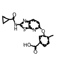 Cc1ccc(C(=O)O)cc1Oc1ccc2nc(NC(=O)C3CC3)sc2n1